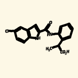 CC(C(=O)O)c1ccccc1NC(=O)c1cc2cc(Cl)ccc2[nH]1